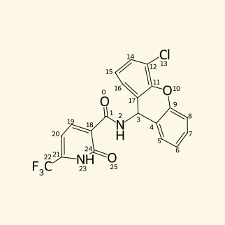 O=C(NC1c2ccccc2Oc2c(Cl)cccc21)c1ccc(C(F)(F)F)[nH]c1=O